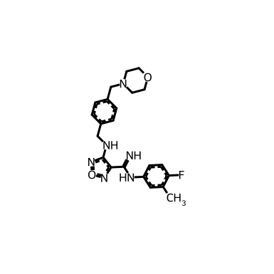 Cc1cc(NC(=N)c2nonc2NCc2ccc(CN3CCOCC3)cc2)ccc1F